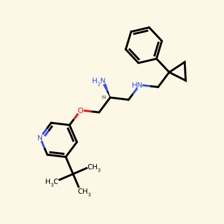 CC(C)(C)c1cncc(OC[C@@H](N)CNCC2(c3ccccc3)CC2)c1